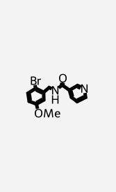 COc1ccc(Br)c(CNC(=O)c2cccnc2)c1